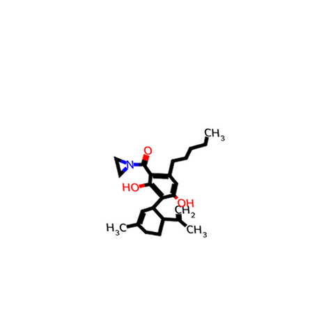 C=C(C)C1CCC(C)=CC1c1c(O)cc(CCCCC)c(C(=O)N2CC2)c1O